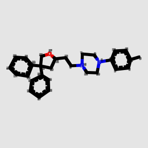 Cc1ccc(N2CCN(CCC3CC(c4ccccc4)(c4ccccc4)CO3)CC2)cc1